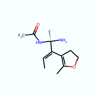 C/C=C(\C1=C(C)OCC1)[C@](C)(N)NC(=O)C(F)(F)F